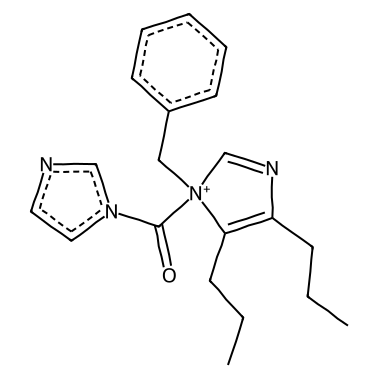 CCCC1=C(CCC)[N+](Cc2ccccc2)(C(=O)n2ccnc2)C=N1